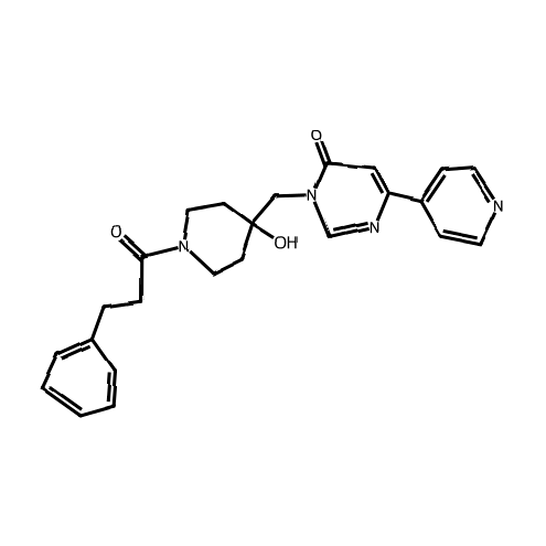 O=C(CCc1ccccc1)N1CCC(O)(Cn2cnc(-c3ccncc3)cc2=O)CC1